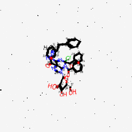 CN(CCc1ccccc1)NC1=NC(Cl)(C(=O)c2ccccc2)N(C(=O)c2ccccc2)C2N([C@@H]3O[C@H](CO)C(O)C3O)C=NC12C(=O)c1ccccc1